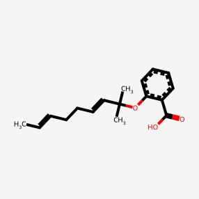 C/C=C/CC/C=C/C(C)(C)Oc1ccccc1C(=O)O